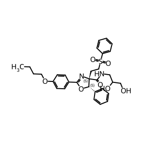 CCCCOc1ccc(C2=N[C@](CCS(=O)(=O)c3ccccc3)(C(=O)NCC(O)CO)[C@H](c3ccccc3)O2)cc1